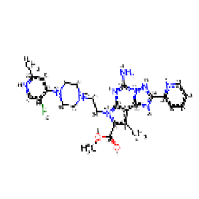 COC(=O)c1c(C)c2c(nc(N)n3nc(-c4ccccn4)nc23)n1CCN1CCN(c2cc(C)ncc2F)CC1